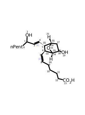 CCCCCC(O)/C=C/[C@H]1[C@H](/C=C\CCCCC(=O)O)[C@@H]2O[C@H]1C[C@H]2O